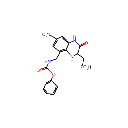 O=C(O)CC1Nc2c(CNC(=O)Oc3ccccc3)cc([N+](=O)[O-])cc2NC1=O